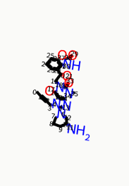 CC#CCn1c(N2CCCC(N)C2)nc2c1c(=O)n(CC(=O)c1cccc3oc(=O)[nH]c13)c(=O)n2C